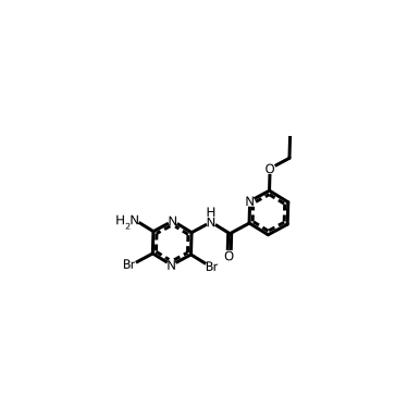 CCOc1cccc(C(=O)Nc2nc(N)c(Br)nc2Br)n1